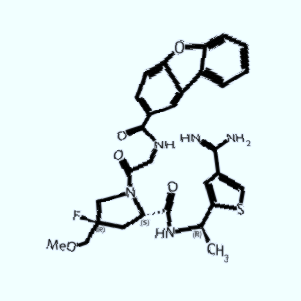 COC[C@@]1(F)C[C@@H](C(=O)N[C@H](C)c2cc(C(=N)N)cs2)N(C(=O)CNC(=O)c2ccc3oc4ccccc4c3c2)C1